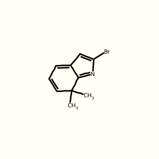 CC1(C)C=CC=C2C=C(Br)N=C21